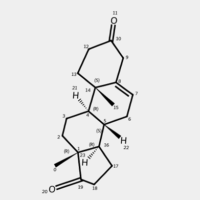 C[C@@]12CC[C@@H]3[C@H](CC=C4CC(=O)CC[C@]43C)[C@H]1CCC2=O